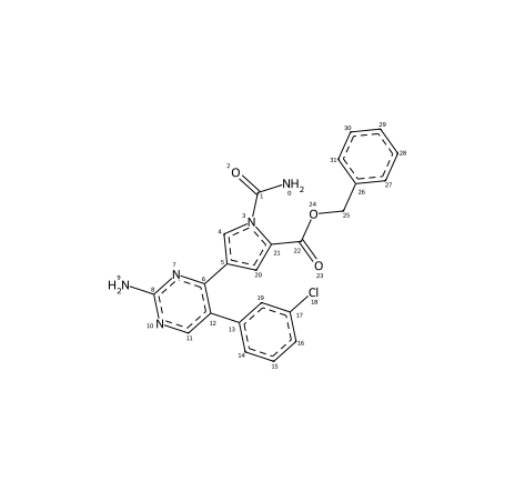 NC(=O)n1cc(-c2nc(N)ncc2-c2cccc(Cl)c2)cc1C(=O)OCc1ccccc1